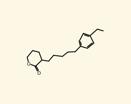 CCc1ccc(CCCCCC2CCCOC2=O)cc1